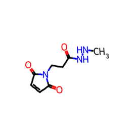 CNNC(=O)CCN1C(=O)C=CC1=O